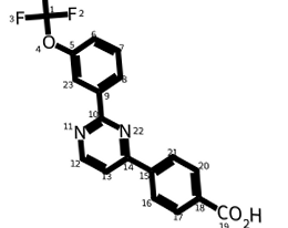 CC(F)(F)Oc1cccc(-c2nccc(-c3ccc(C(=O)O)cc3)n2)c1